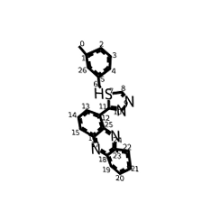 Cc1cccc(C[SH]2C=NN=C2c2cccc3nc4ccccc4nc23)c1